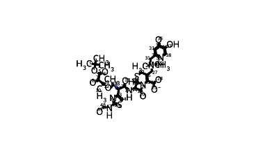 CC(C)(C)OC(=O)C(=O)C(C)(C)O/N=C(/C(=O)N[C@@H]1C(=O)N2C(C(=O)[O-])=C(C[N+](C)(C)Cc3cc(=O)c(O)c[nH]3)CS[C@H]12)c1csc(NC=O)n1